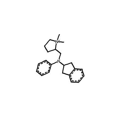 C[N+]1(C)CCCC1CN(c1ccccc1)C1Cc2ccccc2C1